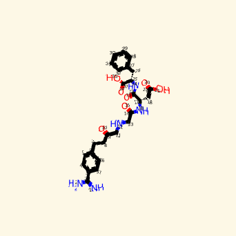 N=C(N)c1ccc(CCC(=O)CNCC(=O)N[C@@H](CC(=O)O)C(=O)N[C@@H](Cc2ccccc2)C(=O)O)cc1